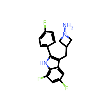 NN1CC(Cc2c(-c3ccc(F)cc3)[nH]c3c(F)cc(F)cc23)C1